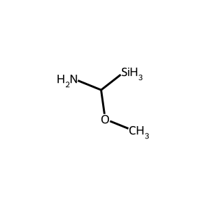 COC(N)[SiH3]